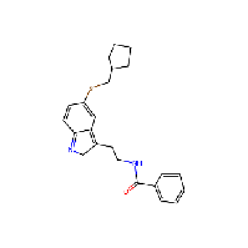 O=C(NCCC1=c2cc(SCC3CCCC3)ccc2=NC1)c1ccccc1